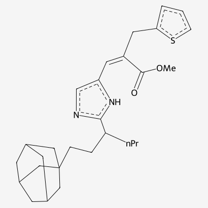 CCCC(CCC12CC3CC(CC(C3)C1)C2)c1ncc(C=C(Cc2cccs2)C(=O)OC)[nH]1